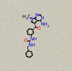 Cn1cc(C(=O)c2cccc(NC(=O)NCc3ccccc3)c2)c2c(N)ncnc21